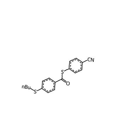 CCCCSc1ccc(C(=O)Sc2ccc(C#N)cc2)cc1